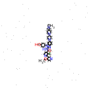 COc1ccncc1-c1nccc(C(=O)Nc2nc3ccc(N4CCC(N5CCC6(CC5)CN(C)C6)CC4)cc3n2[C@H]2CC[C@@H](O)CC2)c1F